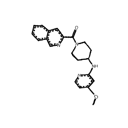 COc1ccnc(NC2CCN(C(=O)c3cc4ccccc4cn3)CC2)c1